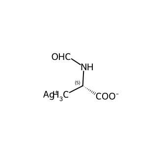 C[C@H](NC=O)C(=O)[O-].[Ag+]